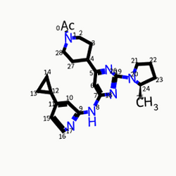 CC(=O)N1CCC(c2cc(Nc3cc(C4CC4)ccn3)nc(N3CCC[C@H]3C)n2)CC1